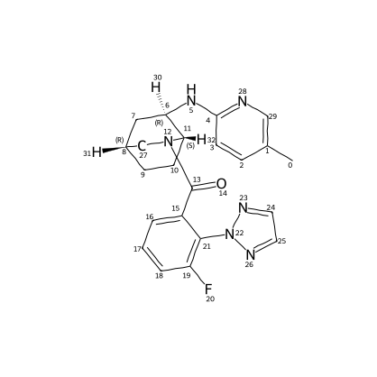 Cc1ccc(N[C@@H]2C[C@H]3CC[C@@H]2N(C(=O)c2cccc(F)c2-n2nccn2)C3)nc1